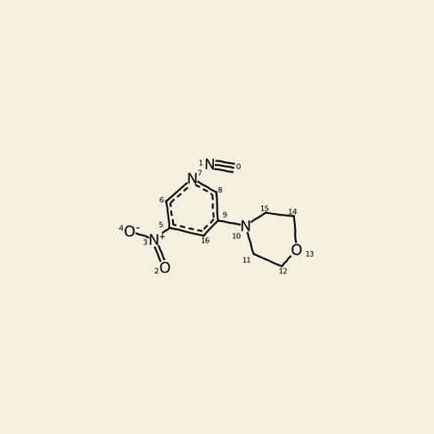 C#N.O=[N+]([O-])c1cncc(N2CCOCC2)c1